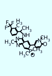 Cc1nc(NC(C)c2cccc(C(F)(F)F)c2C)c2cc(-c3ccc(=O)n(C)c3)c(P(C)(C)=O)cc2n1